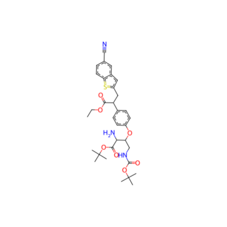 CCOC(=O)C(Cc1cc2cc(C#N)ccc2s1)c1ccc(OC(CNC(=O)OC(C)(C)C)C(N)C(=O)OC(C)(C)C)cc1